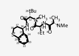 CC[C@H](NC(=O)[C@H](C)NC)C(=O)N(C)[C@H](C(=O)N[C@@H]1CCSc2ccccc21)C(C)(C)C